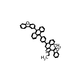 C=Cc1sc2cc(-c3ccc(-c4c5ccccc5c(-c5ccc6oc7ccccc7c6c5)c5ccccc45)cc3)c3ccccc3c2c1-c1c(C)oc2ccccc12